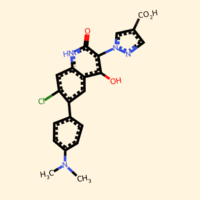 CN(C)c1ccc(-c2cc3c(O)c(-n4cc(C(=O)O)cn4)c(=O)[nH]c3cc2Cl)cc1